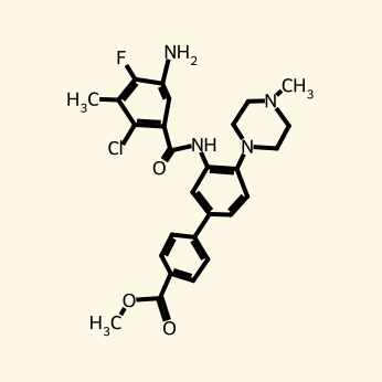 COC(=O)c1ccc(-c2ccc(N3CCN(C)CC3)c(NC(=O)c3cc(N)c(F)c(C)c3Cl)c2)cc1